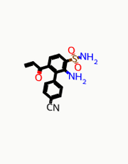 C=CC(=O)c1ccc(S(N)(=O)=O)c(N)c1-c1ccc(C#N)cc1